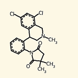 CN1Cc2c(Cl)cc(Cl)cc2C(c2ccccc2N2C(=O)CC(C)(C)C2=O)C1